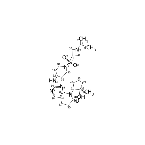 CC(C)N1CC(S(=O)(=O)N2CCC(Nc3ncc4c(n3)N(C3CCCC3(C)O)C(=O)CC4)CC2)C1